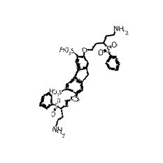 NCCC(CCOc1cc2c(cc1S(=O)(=O)O)-c1cc(S(=O)(=O)O)c(OCCC(CCN)S(=O)(=O)c3ccccc3)cc1C2)S(=O)(=O)c1ccccc1